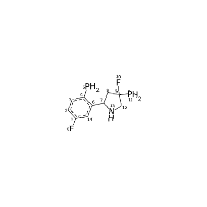 Fc1ccc(P)c(C2CC(F)(P)CN2)c1